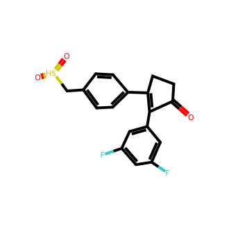 O=C1CCC(c2ccc(C[SH](=O)=O)cc2)=C1c1cc(F)cc(F)c1